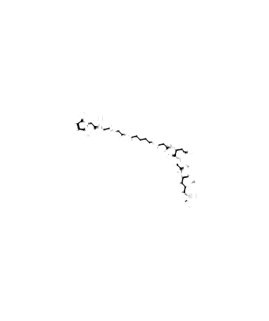 O=CCC(NC(=O)CCOCCCCCOCCOCCNC(=O)CN1C(=O)C=CC1=O)C(=O)NCC(=O)NC(C=O)CCCNC=O